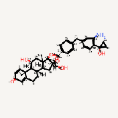 C[C@]12C=CC(=O)C=C1CC[C@@H]1[C@@H]2[C@@H](O)C[C@@]2(C)[C@H]1C[C@H]1O[C@@H](c3ccc(Cc4ccc(C5(O)CC5)c(N)c4)cc3)O[C@]12C(=O)CO